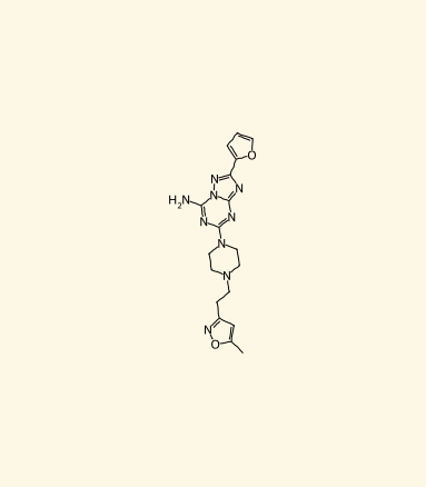 Cc1cc(CCN2CCN(c3nc(N)n4nc(-c5ccco5)nc4n3)CC2)no1